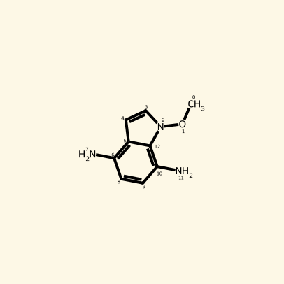 COn1ccc2c(N)ccc(N)c21